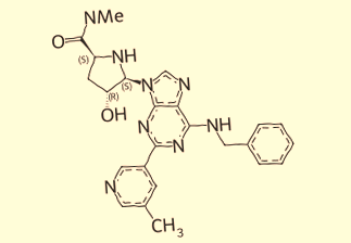 CNC(=O)[C@@H]1C[C@@H](O)[C@H](n2cnc3c(NCc4ccccc4)nc(-c4cncc(C)c4)nc32)N1